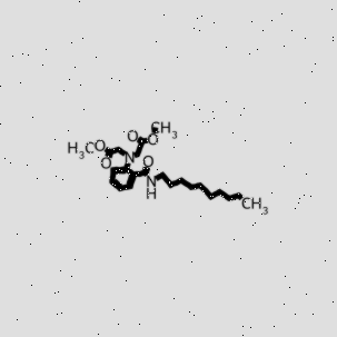 CCCCCCCCCCNC(=O)c1ccccc1N(CC(=O)OC)CC(=O)OC